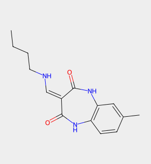 CCCCNC=C1C(=O)Nc2ccc(C)cc2NC1=O